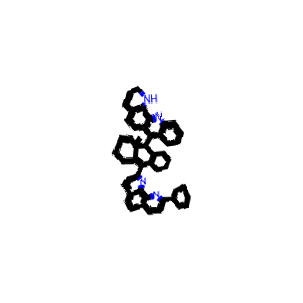 CC12C=CCCC1=C(c1ccc3ccc4ccc(-c5ccccc5)nc4c3n1)C1=C(C=CCC1)C2c1c2ccccc2nc2c3c(ccc12)C=CCN3